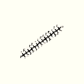 [O]C(F)(F)C(F)(F)C(F)(F)C(F)(F)C(F)(F)C(F)(F)C(F)(F)C(F)(F)C(F)(F)C(F)(F)C(F)(F)C(F)(F)C(F)(F)C(F)(F)F